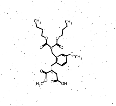 CCCCOC(=O)N(Cc1cc(OC)ccc1C[C@H](CC(=O)O)C(=O)OC)C(=O)OCCCC